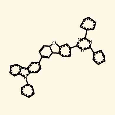 C1=CC2Oc3cc(-c4nc(-c5ccccc5)nc(-c5ccccc5)n4)ccc3C2C=C1c1ccc2c(c1)c1ccccc1n2-c1ccccc1